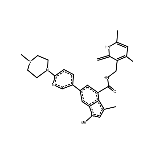 C=C1NC(C)=CC(C)=C1CNC(=O)c1cc(-c2ccc(N3CCN(C)CC3)nc2)cc2c1c(C)cn2C(C)CC